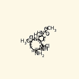 COC(=O)Nc1ccc2c(c1)NC(=O)[C@@H](C)CCC[C@H](N)c1nc-2c(Cl)[nH]1